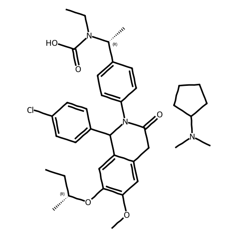 CC[C@@H](C)Oc1cc2c(cc1OC)CC(=O)N(c1ccc([C@@H](C)N(CC)C(=O)O)cc1)C2c1ccc(Cl)cc1.CN(C)C1CCCC1